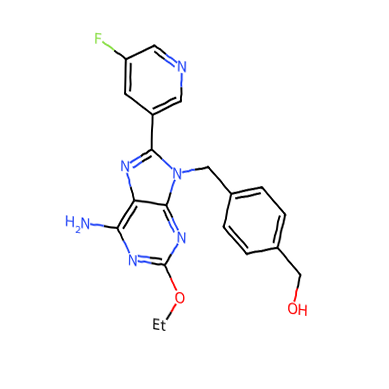 CCOc1nc(N)c2nc(-c3cncc(F)c3)n(Cc3ccc(CO)cc3)c2n1